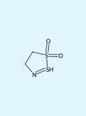 O=S1(=O)C[CH]N=[SH]1